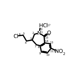 CN1CC(CCCl)Cc2ccc([N+](=O)[O-])cc2C1=O.Cl